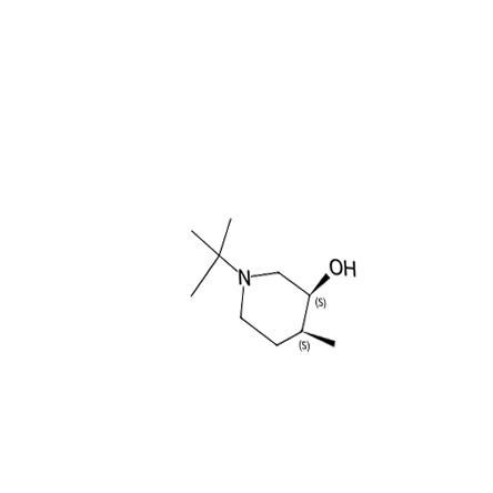 C[C@H]1CCN(C(C)(C)C)C[C@H]1O